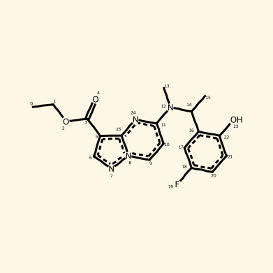 CCOC(=O)c1cnn2ccc(N(C)C(C)c3cc(F)ccc3O)nc12